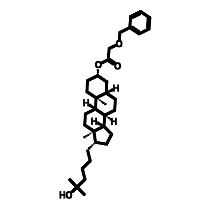 CC(C)(O)CCCC[C@H]1CC[C@H]2[C@@H]3CC[C@H]4C[C@@H](OC(=O)COCc5ccccc5)CC[C@]4(C)[C@H]3CC[C@]12C